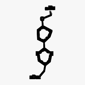 CCCCCCCCCCCc1cnc(-c2ccc(OC[C@@H](C)CC)cc2)nc1